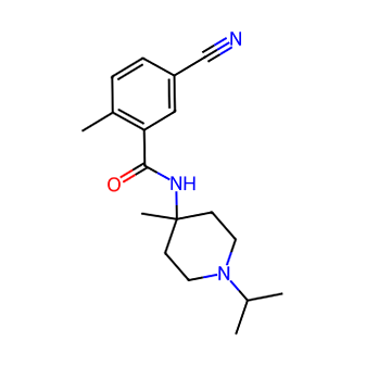 Cc1ccc(C#N)cc1C(=O)NC1(C)CCN(C(C)C)CC1